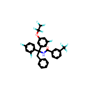 O=C(NC(Cc1ccccc1)(c1cc(F)cc(OC(F)(F)C(F)F)c1)c1ccc(F)cc1F)c1cccc(C(F)(F)F)c1